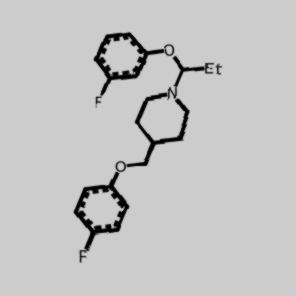 CCC(Oc1cccc(F)c1)N1CCC(COc2ccc(F)cc2)CC1